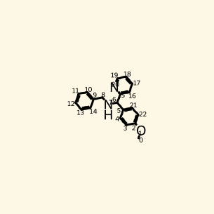 COc1ccc(C(NCc2ccccc2)c2ccccn2)cc1